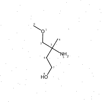 COCC(C)(N)CCO